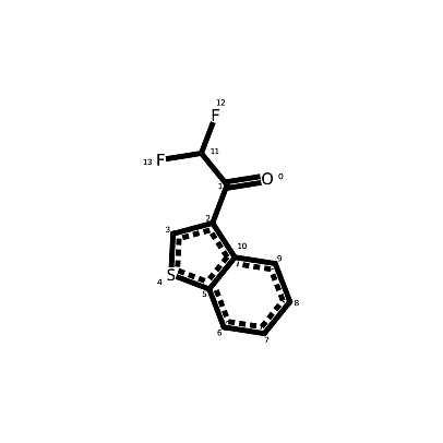 O=C(c1csc2ccccc12)C(F)F